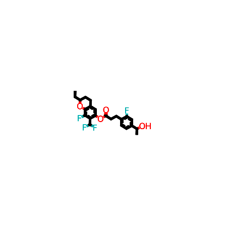 CCC1CCc2cc(OC(=O)CCc3ccc(C(C)O)cc3F)c(C(F)F)c(F)c2O1